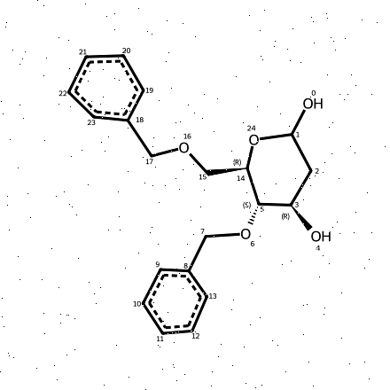 OC1C[C@@H](O)[C@H](OCc2ccccc2)[C@@H](COCc2ccccc2)O1